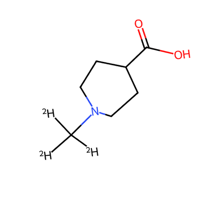 [2H]C([2H])([2H])N1CCC(C(=O)O)CC1